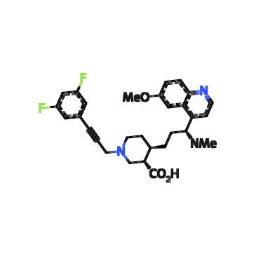 CN[C@@H](CC[C@@H]1CCN(CC#Cc2cc(F)cc(F)c2)C[C@@H]1C(=O)O)c1ccnc2ccc(OC)cc12